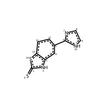 S=c1[nH]c2cc(-c3ncc[nH]3)ccc2s1